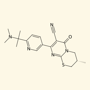 C[C@@H]1CSc2nc(-c3ccc(C(C)(C)N(C)C)nc3)c(C#N)c(=O)n2C1